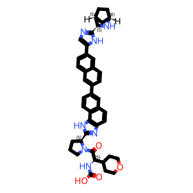 O=C(O)N[C@H](C(=O)N1CCC[C@H]1c1nc2ccc3cc(-c4ccc5cc(-c6cnc([C@H]7N[C@@H]8CC[C@H]7C8)[nH]6)ccc5c4)ccc3c2[nH]1)C1CCOCC1